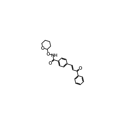 O=C(/C=C/c1ccc(C(=O)NOC2CCCCO2)cc1)c1ccccc1